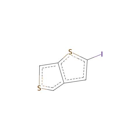 Ic1cc2cscc2s1